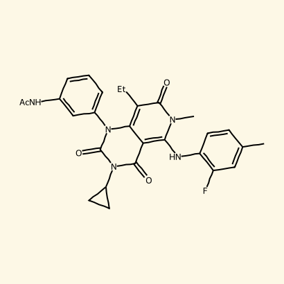 CCc1c(=O)n(C)c(Nc2ccc(C)cc2F)c2c(=O)n(C3CC3)c(=O)n(-c3cccc(NC(C)=O)c3)c12